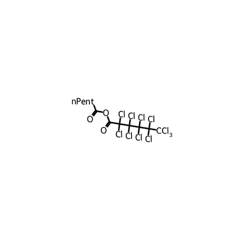 CCCCCC(=O)OC(=O)C(Cl)(Cl)C(Cl)(Cl)C(Cl)(Cl)C(Cl)(Cl)C(Cl)(Cl)Cl